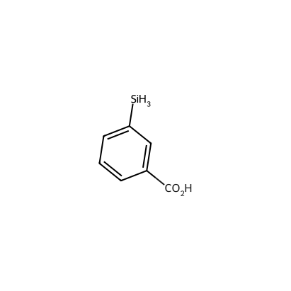 O=C(O)c1cccc([SiH3])c1